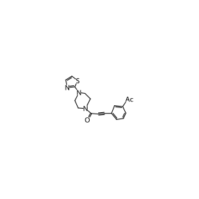 CC(=O)c1cccc(C#CC(=O)N2CCN(c3nccs3)CC2)c1